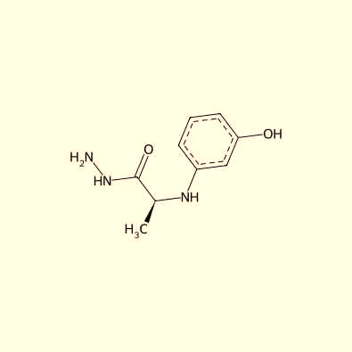 C[C@H](Nc1cccc(O)c1)C(=O)NN